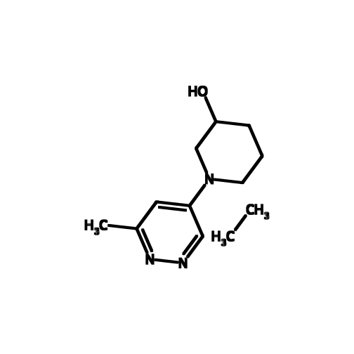 CC.Cc1cc(N2CCCC(O)C2)cnn1